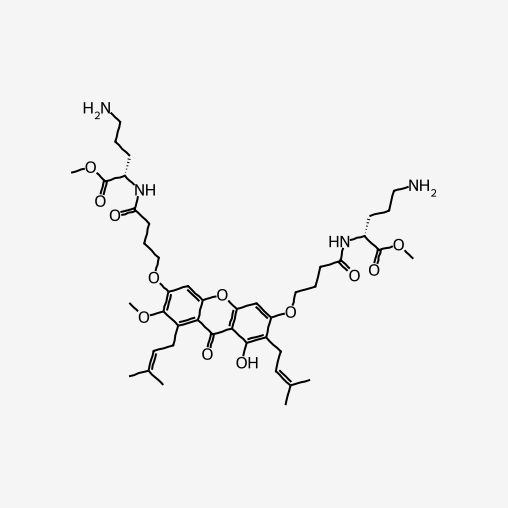 COC(=O)[C@H](CCCN)NC(=O)CCCOc1cc2oc3cc(OCCCC(=O)N[C@H](CCCN)C(=O)OC)c(CC=C(C)C)c(O)c3c(=O)c2c(CC=C(C)C)c1OC